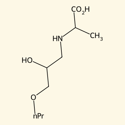 CCCOCC(O)CNC(C)C(=O)O